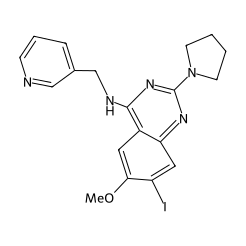 COc1cc2c(NCc3cccnc3)nc(N3CCCC3)nc2cc1I